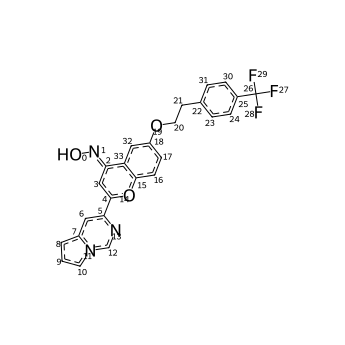 ON=c1cc(-c2cc3cccn3cn2)oc2ccc(OCCc3ccc(C(F)(F)F)cc3)cc12